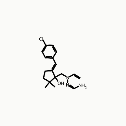 C=CN(CC1(O)/C(=C/c2ccc(Cl)cc2)CCC1(C)C)/N=C\N